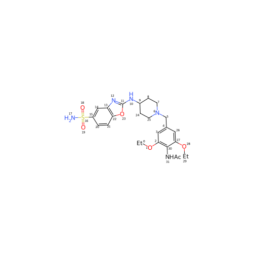 CCOc1cc(CN2CCC(Nc3nc4cc(S(N)(=O)=O)ccc4o3)CC2)cc(OCC)c1NC(C)=O